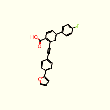 O=C(O)c1ccc(-c2ccc(F)cc2)cc1C#Cc1ccc(-c2ccco2)cc1